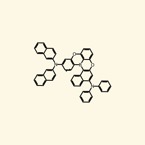 C1=CC2C(N(c3ccc4ccccc4c3)c3ccc4ccccc4c3)=CC3=C(B4c5c(cccc5Oc5cc(N(c6ccccc6)c6ccccc6)c6ccccc6c54)O3)C2C=C1